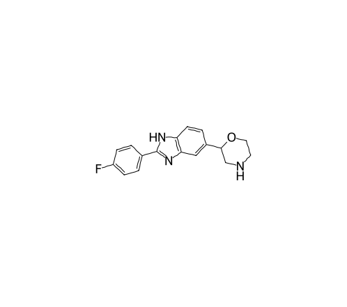 Fc1ccc(-c2nc3cc(C4CNCCO4)ccc3[nH]2)cc1